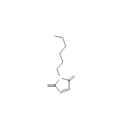 CC(=O)[C@@H](N)CCCCN1C(=O)C=CC1=O